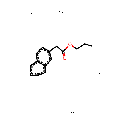 CCCOC(=O)Cc1ccc2ccccc2c1